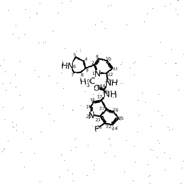 CN1C(C2CCNCC2)=CC=CC1NC(=O)Nc1ccnc2c(F)cccc12